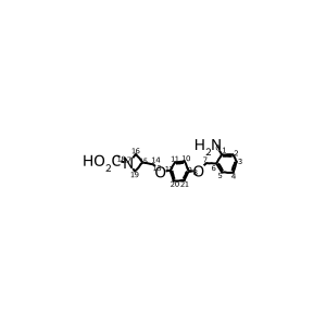 Nc1ccccc1COc1ccc(OCC2CN(C(=O)O)C2)cc1